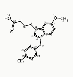 COc1ccc2c(c1)c(CCCC(=O)O)cn2Cc1ccc(Cl)cc1